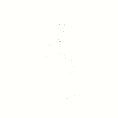 Cc1nn(C(C)(C)C)cc1-c1cc(Cl)ccc1Oc1cc(F)c(S(=O)(=O)Nc2nncs2)cc1Cl